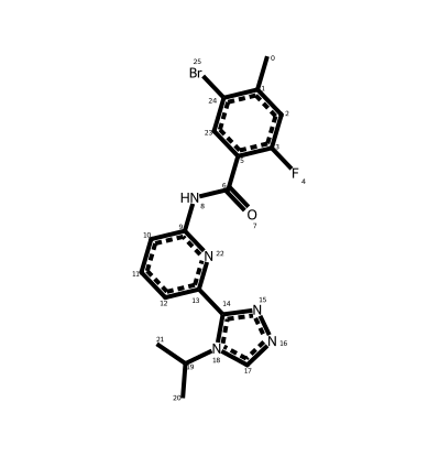 Cc1cc(F)c(C(=O)Nc2cccc(-c3nncn3C(C)C)n2)cc1Br